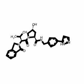 CC(C)[C@@H](C(=O)N1C[C@H](O)C[C@H]1C(=O)NCc1ccc(-c2ccn[nH]2)cc1)N1Cc2ccccc2C1=O